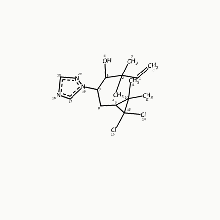 C=CC(C)(C)C(O)C(CC1C(C)(C)C1(Cl)Cl)n1cncn1